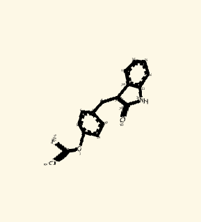 O=C(F)Oc1ccc(CC2C(=O)Nc3ccccc32)cc1